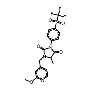 COc1cc(CN2C(=O)N(c3ccc(S(=O)(=O)C(F)(F)F)cc3)C(=O)C2C)ccn1